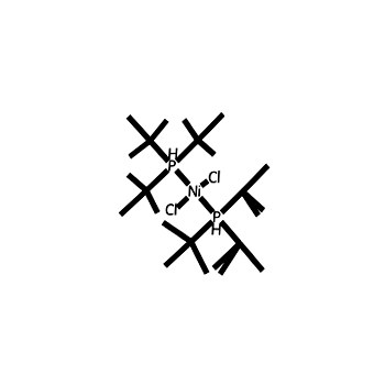 CC(C)(C)[PH](C(C)(C)C)(C(C)(C)C)[Ni]([Cl])([Cl])[PH](C(C)(C)C)(C(C)(C)C)C(C)(C)C